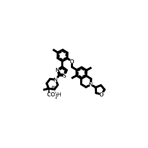 Cc1ccc(OCc2cc(C)c3c(c2C)CCN(C2CCOC2)C3)c(-c2csc(N3CC[C@](C)(C(=O)O)[C@@H](C)C3)n2)c1